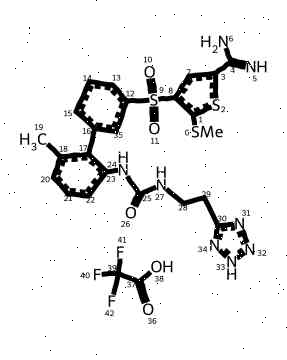 CSc1sc(C(=N)N)cc1S(=O)(=O)c1cccc(-c2c(C)cccc2NC(=O)NCCc2nn[nH]n2)c1.O=C(O)C(F)(F)F